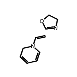 C1=NCCO1.C=CN1C=CC=CC1